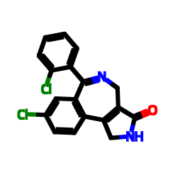 O=C1NCC2=C1CN=C(c1ccccc1Cl)c1cc(Cl)ccc12